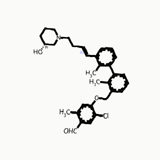 Cc1cc(OCc2cccc(-c3cccc(/C=C/CCN4CCC[C@@H](O)C4)c3C)c2C)c(Cl)cc1C=O